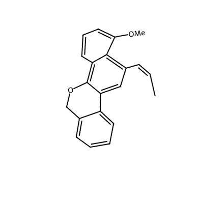 C/C=C\c1cc2c(c3cccc(OC)c13)OCc1ccccc1-2